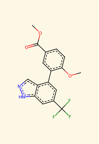 COC(=O)c1ccc(OC)c(-c2cc(C(F)(F)F)cc3[nH]ncc23)c1